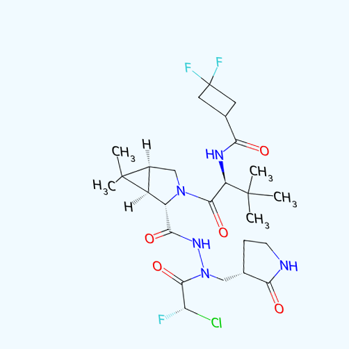 CC(C)(C)[C@H](NC(=O)C1CC(F)(F)C1)C(=O)N1C[C@H]2[C@@H]([C@H]1C(=O)NN(C[C@@H]1CCNC1=O)C(=O)[C@@H](F)Cl)C2(C)C